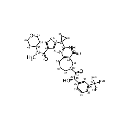 CN(C(=O)c1csc(C2(c3nc4c(c(=O)[nH]3)CN(C(=O)[C@H](O)c3cccc(C(F)(F)F)c3)CCC4)CC2)c1)C1CCOCC1